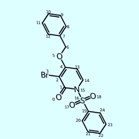 O=c1c(Br)c(OCc2ccccc2)ccn1S(=O)(=O)c1ccccc1